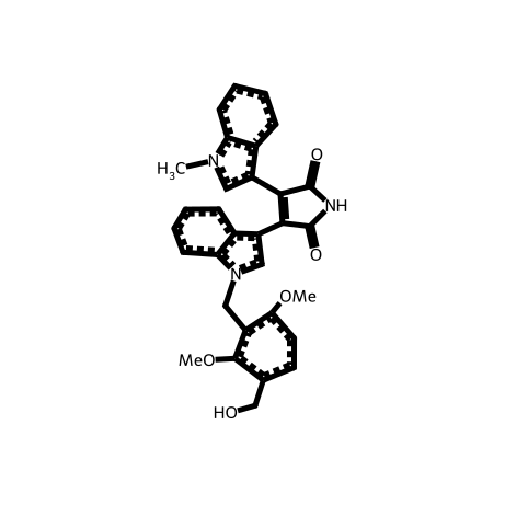 COc1ccc(CO)c(OC)c1Cn1cc(C2=C(c3cn(C)c4ccccc34)C(=O)NC2=O)c2ccccc21